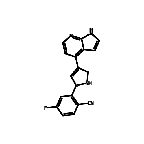 N#Cc1ccc(F)cc1N1C=C(c2ccnc3[nH]ccc23)CN1